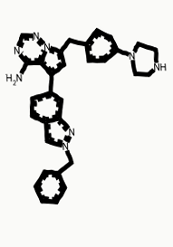 Nc1ncnn2c(Cc3ccc(N4CCNCC4)cc3)cc(-c3ccc4cn(Cc5ccccc5)nc4c3)c12